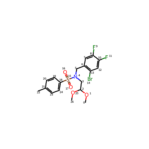 COC(CN(Cc1cc(F)c(F)cc1Br)S(=O)(=O)c1ccc(C)cc1)OC